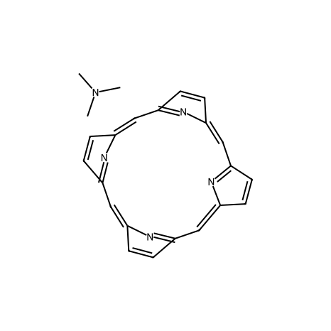 C1=CC2=NC1=CC1=NC(=CC3=NC(=CC4=NC(=C2)C=C4)C=C3)C=C1.CN(C)C